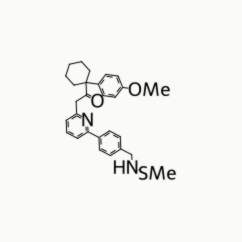 COc1ccc(C2(C(=O)Cc3cccc(-c4ccc(CNSC)cc4)n3)CCCCC2)cc1